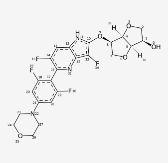 O[C@@H]1CO[C@H]2[C@@H]1OC[C@H]2Oc1[nH]c2cc(F)c(-c3c(F)cc(N4CCOCC4)cc3F)nc2c1F